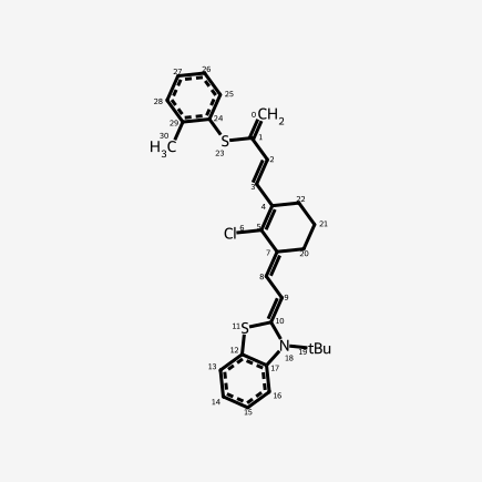 C=C(/C=C/C1=C(Cl)C(=C/C=C2\Sc3ccccc3N2C(C)(C)C)/CCC1)Sc1ccccc1C